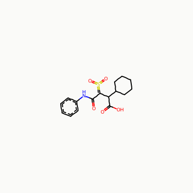 O=C(Nc1ccccc1)C(C(C(=O)O)C1CCCCC1)=S(=O)=O